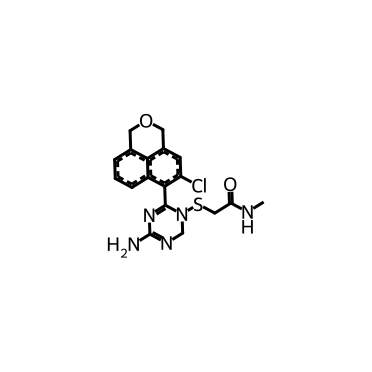 CNC(=O)CSN1CN=C(N)N=C1c1c(Cl)cc2c3c(cccc13)COC2